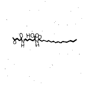 CCCCCCCCCCCCCCC(=O)NC(CCCCNC(=O)CCC(C)=O)C(=O)O